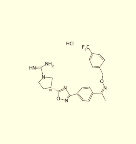 CC(=NOCc1ccc(C(F)(F)F)cc1)c1ccc(-c2noc([C@@H]3CCN(C(=N)N)C3)n2)cc1.Cl